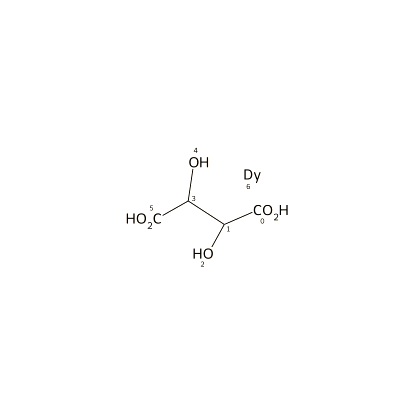 O=C(O)C(O)C(O)C(=O)O.[Dy]